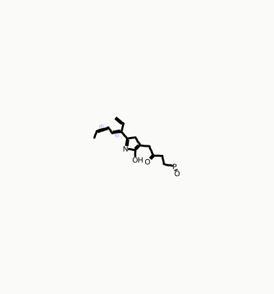 C=C/C(=C\C=C/C)C1=NC(O)=C(CC(=O)CCP=O)C1